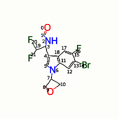 O=CNC(c1cn(C2COC2)c2cc(Br)c(F)cc12)C(F)F